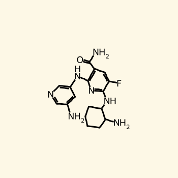 NC(=O)c1cc(F)c(NC2CCCCC2N)nc1Nc1cncc(N)c1